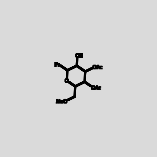 COCC1OC(C(C)C)C(O)C(OC(C)=O)C1OC(C)=O